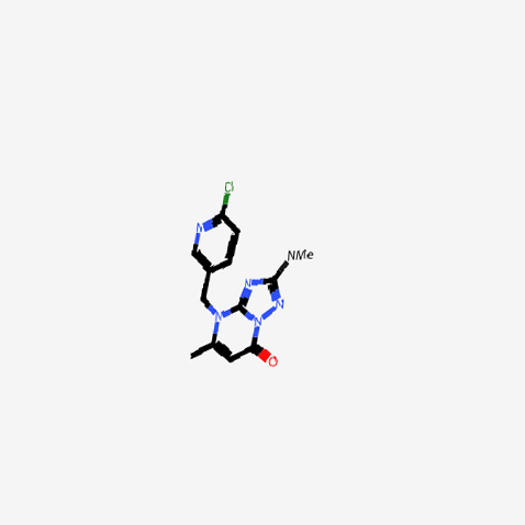 CNc1nc2n(Cc3ccc(Cl)nc3)c(C)cc(=O)n2n1